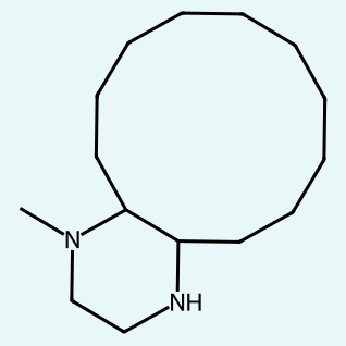 CN1CCNC2CCCCCCCCCCC21